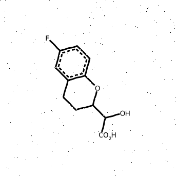 O=C(O)C(O)C1CCc2cc(F)ccc2O1